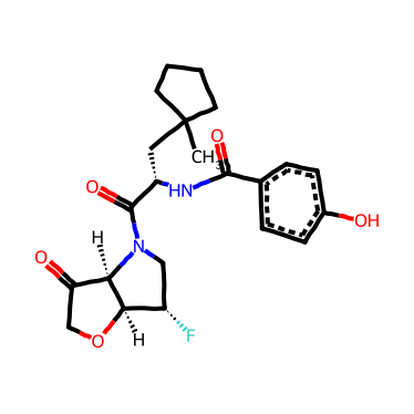 CC1(C[C@H](NC(=O)c2ccc(O)cc2)C(=O)N2C[C@H](F)[C@H]3OCC(=O)[C@H]32)CCCC1